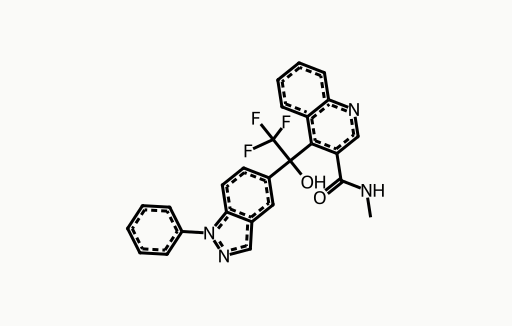 CNC(=O)c1cnc2ccccc2c1C(O)(c1ccc2c(cnn2-c2ccccc2)c1)C(F)(F)F